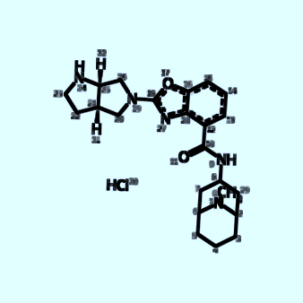 CN1C2CCCC1CC(NC(=O)c1cccc3oc(N4C[C@@H]5CCN[C@@H]5C4)nc13)C2.Cl